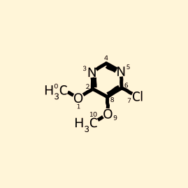 COc1ncnc(Cl)c1OC